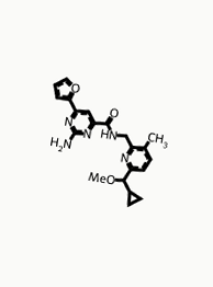 COC(c1ccc(C)c(CNC(=O)c2cc(-c3ccco3)nc(N)n2)n1)C1CC1